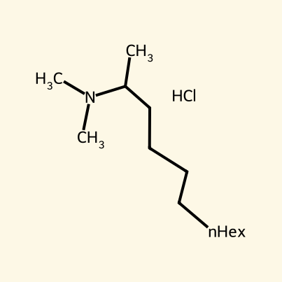 CCCCCCCCCCC(C)N(C)C.Cl